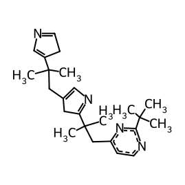 CC(C)(CC1=CN=C(C(C)(C)Cc2ccnc(C(C)(C)C)n2)C1)C1=CN=CC1